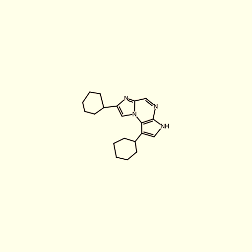 c1[nH]c2ncc3nc(C4CCCCC4)cn3c2c1C1CCCCC1